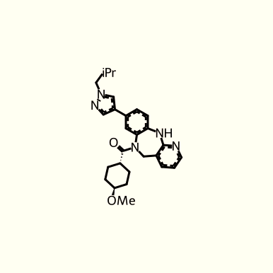 CO[C@H]1CC[C@H](C(=O)N2Cc3cccnc3Nc3ccc(-c4cnn(CC(C)C)c4)cc32)CC1